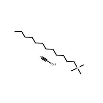 CCCCCCCCCCCC[N+](C)(C)C.N#CO